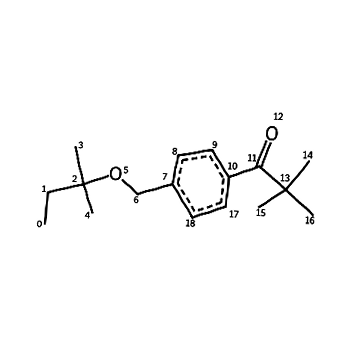 CCC(C)(C)OCc1ccc(C(=O)C(C)(C)C)cc1